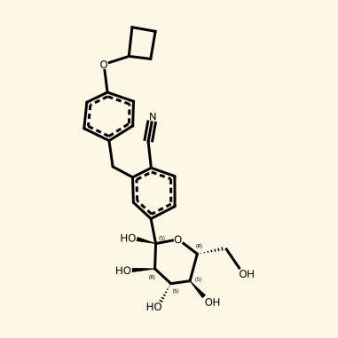 N#Cc1ccc([C@]2(O)O[C@H](CO)[C@@H](O)[C@H](O)[C@H]2O)cc1Cc1ccc(OC2CCC2)cc1